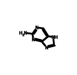 Nc1ncc2[nH][c]nc2n1